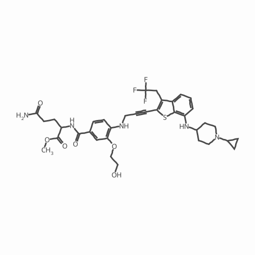 COC(=O)C(CCC(N)=O)NC(=O)c1ccc(NCC#Cc2sc3c(NC4CCN(C5CC5)CC4)cccc3c2CC(F)(F)F)c(OCCO)c1